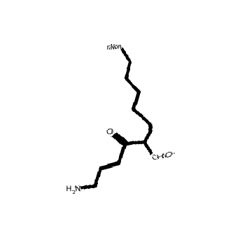 CCCCCCCCCCCCCCC([C]=O)C(=O)CCCN